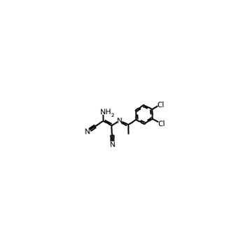 C/C(=N\C(C#N)=C(/N)C#N)c1ccc(Cl)c(Cl)c1